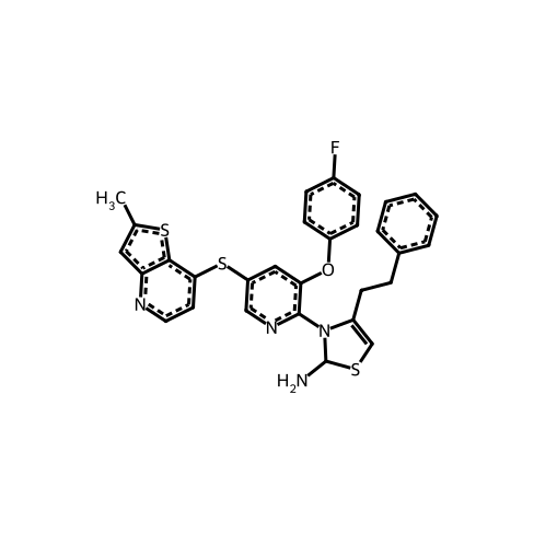 Cc1cc2nccc(Sc3cnc(N4C(CCc5ccccc5)=CSC4N)c(Oc4ccc(F)cc4)c3)c2s1